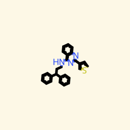 c1ccc(C(CCNc2nc(-c3ccsc3)nc3ccccc23)c2ccccc2)cc1